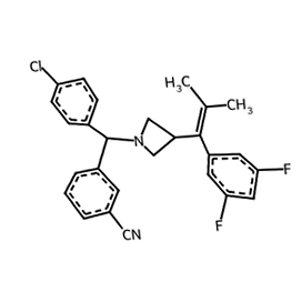 CC(C)=C(c1cc(F)cc(F)c1)C1CN(C(c2ccc(Cl)cc2)c2cccc(C#N)c2)C1